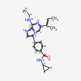 C/C=C(\C)c1cn2c(-c3ccc(C(=O)NC4CC4)cc3)cnc2c(NCC(C)C)n1